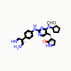 N=C/C(=C\N)c1ccc(Nc2ncc(C[C@@H]3CCNC3=O)c(N(C=O)C3CCCC3)n2)cc1